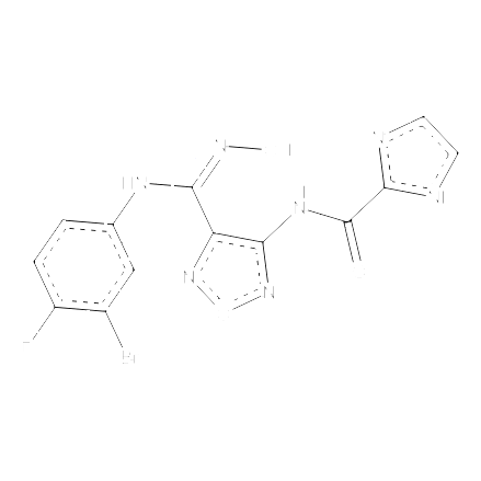 O=C(Nc1nonc1/C(=N\O)Nc1ccc(F)c(Br)c1)c1ncc[nH]1